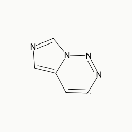 [c]1cc2cncn2nn1